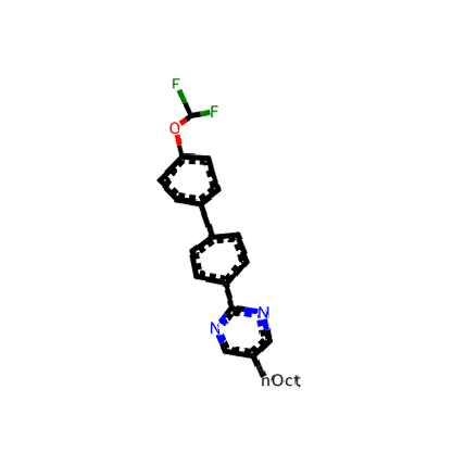 CCCCCCCCc1cnc(-c2ccc(-c3ccc(OC(F)F)cc3)cc2)nc1